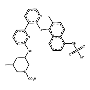 CCCS(=O)(=O)Nc1cccc2c(Oc3ncccc3-c3ccnc(NC4CC(C)CN(C(=O)O)C4)n3)c(C)ccc12